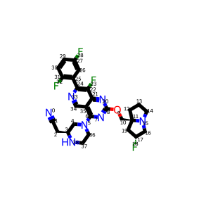 N#CC[C@H]1CN(c2nc(OC[C@@]34CCCN3C[C@H](F)C4)nc3c(F)c(-c4cc(F)ccc4F)ncc23)CCN1